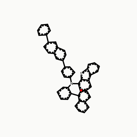 c1ccc(-c2ccc3cc(-c4ccc(N(c5ccccc5-c5cccc6ccccc56)c5cccc6c5sc5ccccc56)cc4)ccc3c2)cc1